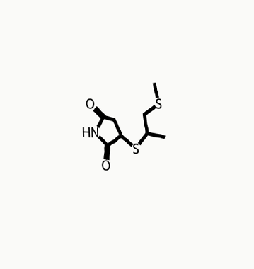 CSCC(C)SC1CC(=O)NC1=O